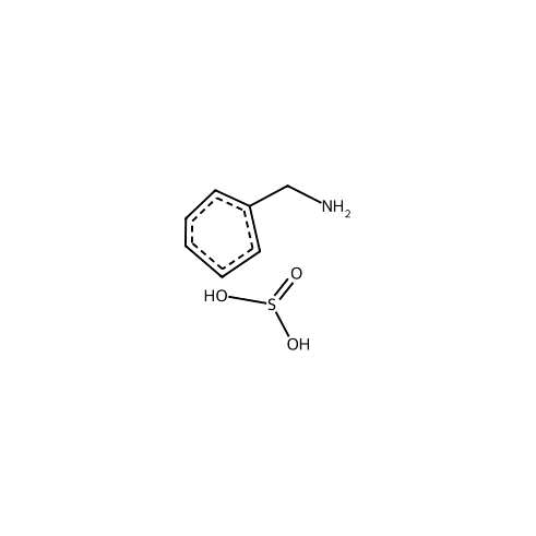 NCc1ccccc1.O=S(O)O